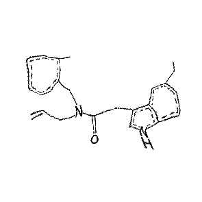 C=CCN(Cc1ccccc1C)C(=O)Cc1c[nH]c2ccc(C)cc12